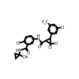 N#CC1(NC(=O)c2cc(NC(=O)C3C(c4cc(Cl)cc(C(F)(F)F)c4)C3(Cl)Cl)ccc2Cl)CC1